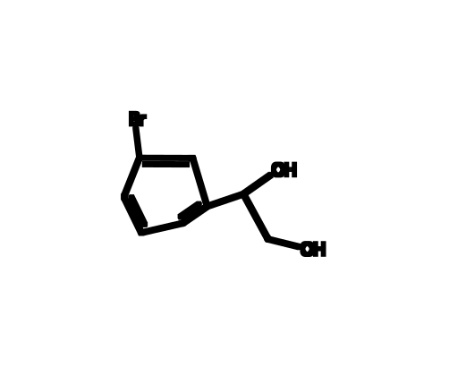 OCC(O)c1cccc(Br)c1